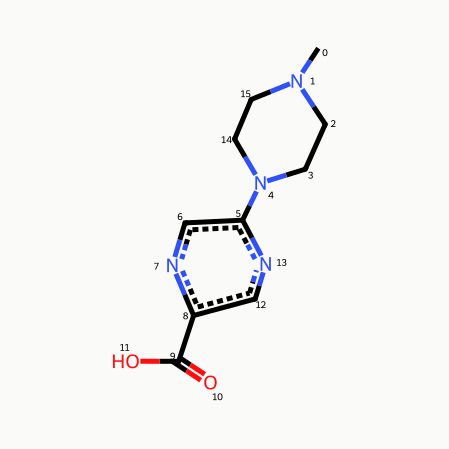 CN1CCN(c2cnc(C(=O)O)cn2)CC1